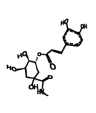 CNC(=O)C1(O)C[C@@H](O)[C@@H](O)[C@H](OC(=O)/C=C/c2ccc(O)c(O)c2)C1